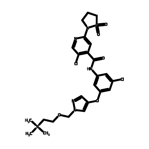 C[Si](C)(C)CCOCn1cc(Oc2cc(Cl)cc(NC(=O)c3cc(N4CCCS4(=O)=O)ncc3Cl)c2)cn1